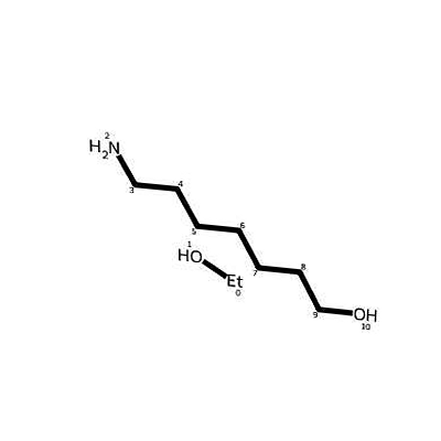 CCO.NCCCCCCCO